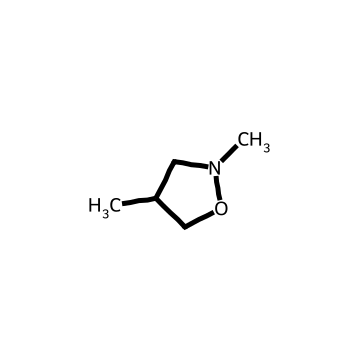 CC1CON(C)C1